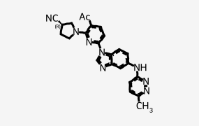 CC(=O)c1ccc(-n2cnc3cc(Nc4ccc(C)nn4)ccc32)nc1N1CC[C@@H](C#N)C1